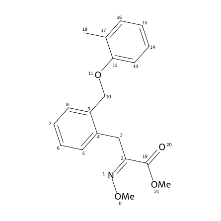 CON=C(Cc1ccccc1COc1ccccc1C)C(=O)OC